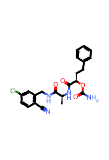 C[C@H](NC(=O)[C@@H](CCc1ccccc1)OC(N)=O)C(=O)NCc1cc(Cl)ccc1C#N